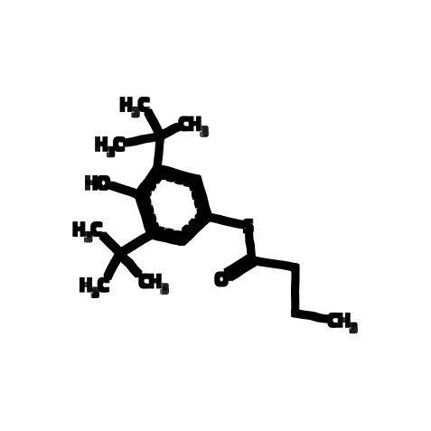 CCCC(=O)Sc1cc(C(C)(C)C)c(O)c(C(C)(C)C)c1